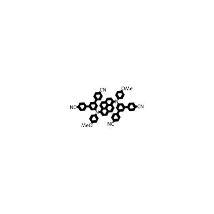 COc1ccc(N(c2cc(-c3ccc(C#N)cc3)cc(-c3ccc(C#N)cc3)c2)c2ccc3ccc4c(N(c5ccc(OC)cc5)c5cc(-c6ccc(C#N)cc6)cc(-c6ccc(C#N)cc6)c5)ccc5ccc2c3c54)cc1